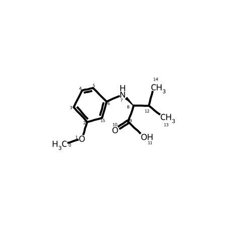 COc1cccc(N[C@H](C(=O)O)C(C)C)c1